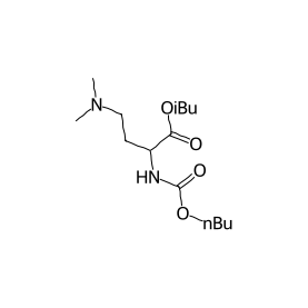 CCCCOC(=O)NC(CCN(C)C)C(=O)OCC(C)C